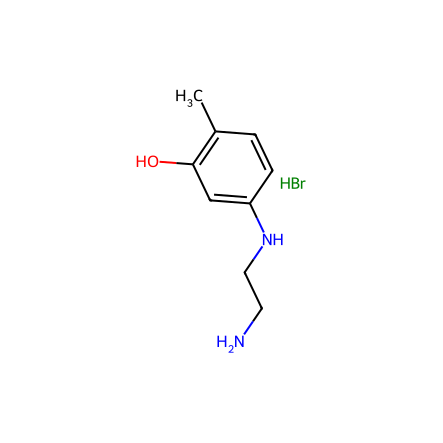 Br.Cc1ccc(NCCN)cc1O